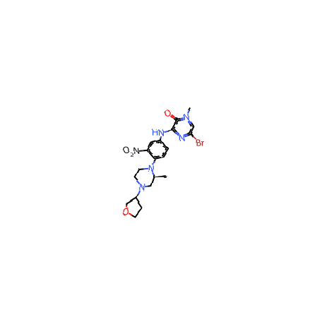 C[C@H]1CN(C2CCOC2)CCN1c1ccc(Nc2nc(Br)cn(C)c2=O)cc1[N+](=O)[O-]